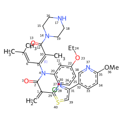 C=C(C(=O)N(/C(C=C(C)C)=C(\C)C(=O)N1CCNCC1)c1cc(OCC)ccc1Cl)c1nc(-c2ccc(OC)nc2)cs1